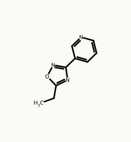 CCc1nc(-c2cccnc2)no1